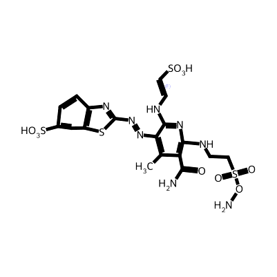 Cc1c(N=Nc2nc3ccc(S(=O)(=O)O)cc3s2)c(N/C=C/S(=O)(=O)O)nc(NCCS(=O)(=O)ON)c1C(N)=O